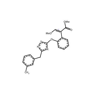 CO/C=C(/C(=O)OC)c1ccccc1Oc1nc(Cc2cccc(C)c2)ns1